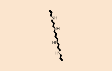 C=CCNCCCNC/C=C/CNCCCNCC=C